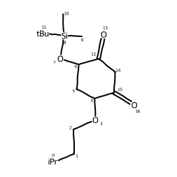 CC(C)CCOC1CC(O[Si](C)(C)C(C)(C)C)C(=O)CC1=O